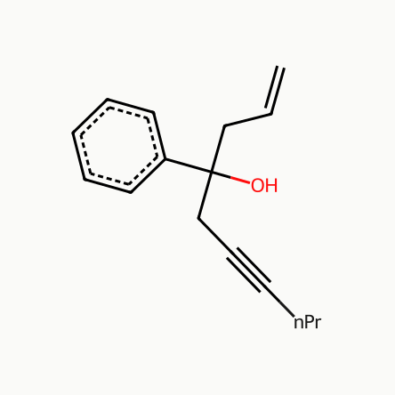 C=CCC(O)(CC#CCCC)c1ccccc1